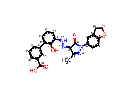 CC1=NN(c2ccc3c(c2)CCO3)C(=O)/C1=N\Nc1cccc(-c2cccc(C(=O)O)c2)c1O